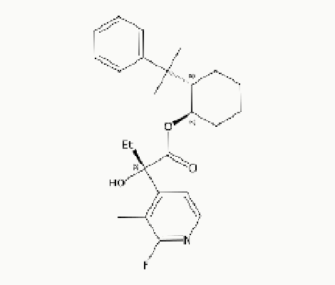 CC[C@@](O)(C(=O)O[C@@H]1CCCC[C@H]1C(C)(C)c1ccccc1)c1ccnc(F)c1C